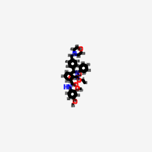 CCOC(=O)C1=C(C(=O)Nc2ccc(OC)cc2OC)C2C=CC1(C(Nc1ccccc1)c1ccc(CN3CCOCC3)cc1)O2